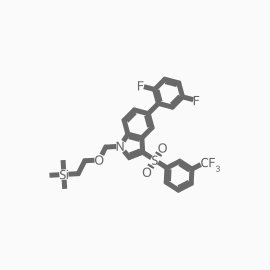 C[Si](C)(C)CCOCn1cc(S(=O)(=O)c2cccc(C(F)(F)F)c2)c2cc(-c3cc(F)ccc3F)ccc21